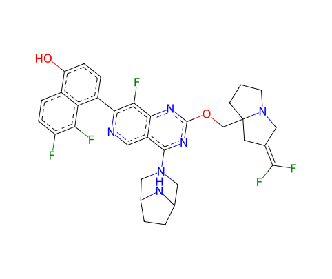 Oc1ccc(-c2ncc3c(N4CC5CCC(C4)N5)nc(OCC45CCCN4CC(=C(F)F)C5)nc3c2F)c2c(F)c(F)ccc12